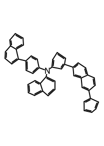 c1ccc(-c2ccc3ccc(-c4cccc(N(c5ccc(-c6cccc7ccccc67)cc5)c5cccc6ccccc56)c4)cc3c2)cc1